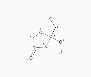 CCC(N[C]=O)(OC)OC